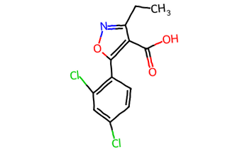 CCc1noc(-c2ccc(Cl)cc2Cl)c1C(=O)O